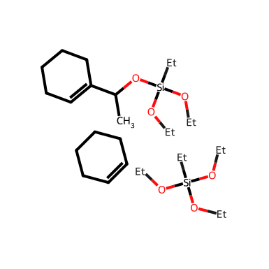 C1=CCCCC1.CCO[Si](CC)(OCC)OC(C)C1=CCCCC1.CCO[Si](CC)(OCC)OCC